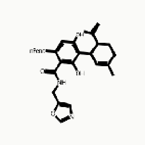 C=C(C)C1CCC(C)=CC1c1c(O)cc(CCCCC)c(C(=O)NCc2cnco2)c1O